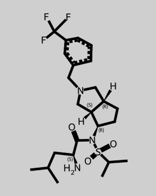 CC(C)C[C@H](N)C(=O)N([C@@H]1CC[C@H]2CN(Cc3cccc(C(F)(F)F)c3)C[C@H]21)S(=O)(=O)C(C)C